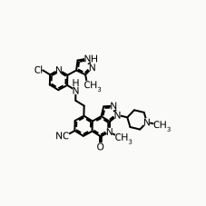 Cc1n[nH]cc1-c1nc(Cl)ccc1NCCc1cc(C#N)cc2c(=O)n(C)c3c(cnn3C3CCN(C)CC3)c12